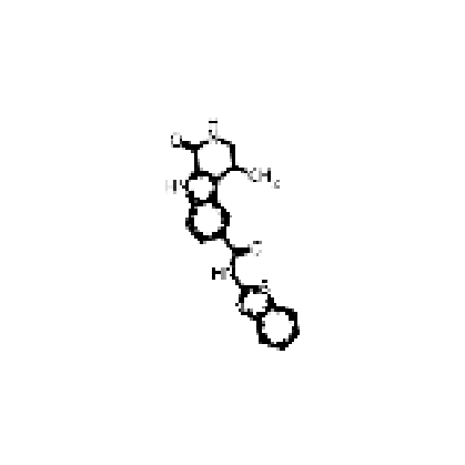 CC1CNC(=O)c2[nH]c3ccc(C(=O)Nc4nc5ccccc5s4)cc3c21